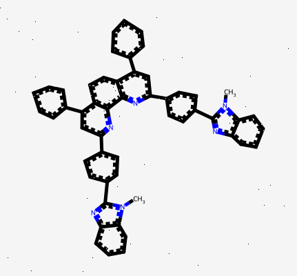 Cn1c(-c2ccc(-c3cc(-c4ccccc4)c4ccc5c(-c6ccccc6)cc(-c6ccc(-c7nc8ccccc8n7C)cc6)nc5c4n3)cc2)nc2ccccc21